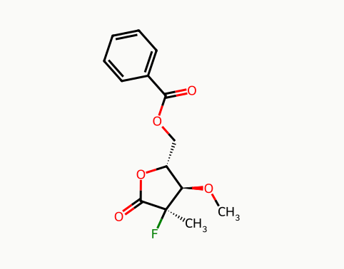 CO[C@@H]1[C@@H](COC(=O)c2ccccc2)OC(=O)[C@]1(C)F